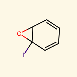 IC12C=CC=CC1O2